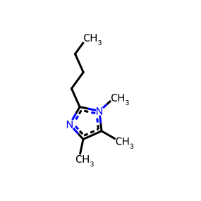 CCCCc1nc(C)c(C)n1C